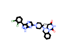 CC1(NCc2ccccc2N2CCC(=O)NC2=O)CCN(c2cnc3c(-c4cccc(Cl)c4Cl)n[nH]c3n2)CC1